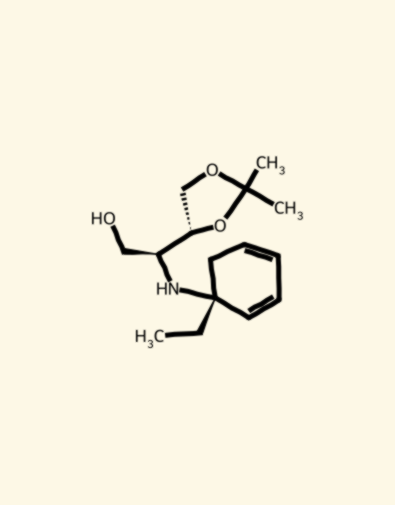 CC[C@]1(N[C@@H](CO)[C@@H]2COC(C)(C)O2)C=CC=CC1